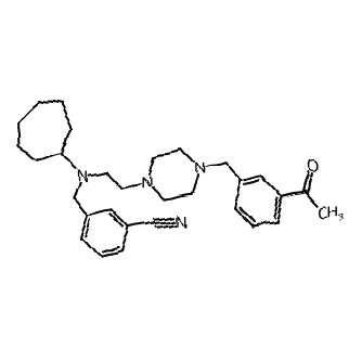 CC(=O)c1cccc(CN2CCN(CCN(Cc3cccc(C#N)c3)C3CCCCCC3)CC2)c1